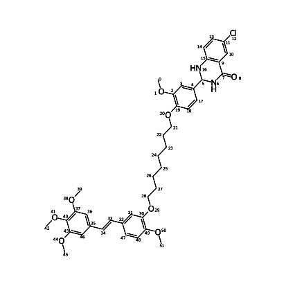 COc1cc(C2NC(=O)c3cc(Cl)ccc3N2)ccc1OCCCCCCCCOc1cc(/C=C/c2cc(OC)c(OC)c(OC)c2)ccc1OC